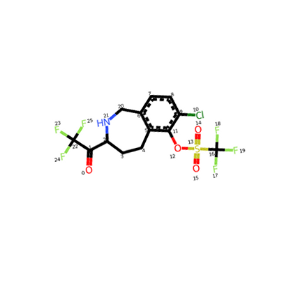 O=C(C1CCc2c(ccc(Cl)c2OS(=O)(=O)C(F)(F)F)CN1)C(F)(F)F